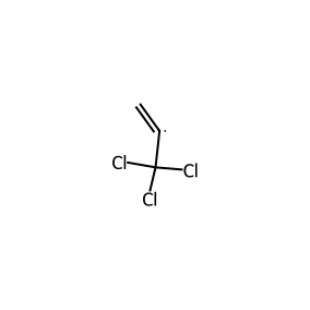 C=[C]C(Cl)(Cl)Cl